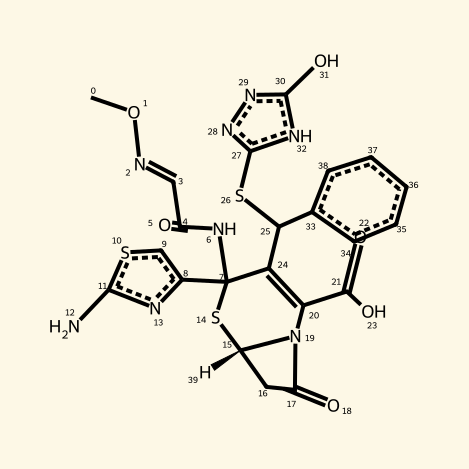 CON=CC(=O)NC1(c2csc(N)n2)S[C@H]2CC(=O)N2C(C(=O)O)=C1C(Sc1nnc(O)[nH]1)c1ccccc1